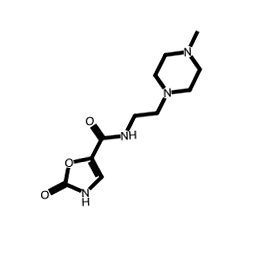 CN1CCN(CCNC(=O)c2c[nH]c(=O)o2)CC1